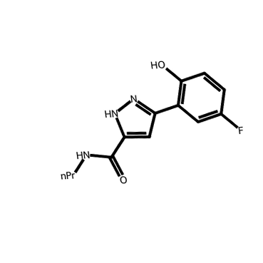 CCCNC(=O)c1cc(-c2cc(F)ccc2O)n[nH]1